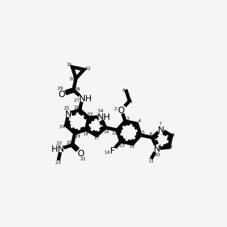 CCOc1cc(-c2nccn2C)cc(F)c1-c1cc2c(C(=O)NC)cnc(NC(=O)C3CC3)c2[nH]1